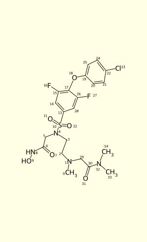 CN(CCN(CC(=O)NO)S(=O)(=O)c1cc(F)c(Oc2ccc(Cl)cc2)c(F)c1)CC(=O)N(C)C